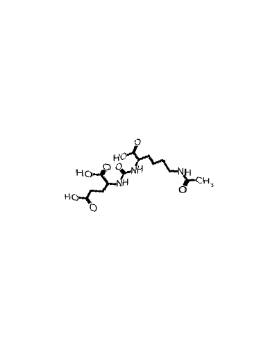 CC(=O)NCCCCC(NC(=O)NC(CCC(=O)O)C(=O)O)C(=O)O